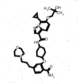 CC(C)(O)COc1ccc2c(C(=O)NC3CCC(Oc4cc(CCCN5CCOCC5)ccc4C(N)=O)CC3)cnn2c1C1CC1